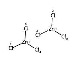 [Cl][Zn]([Cl])[Cl].[Cl][Zn]([Cl])[Cl]